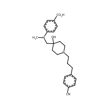 CN(CC1(O)CCN(CCCc2ccc(C#N)cc2)CC1)c1ccc(C(=O)O)cc1